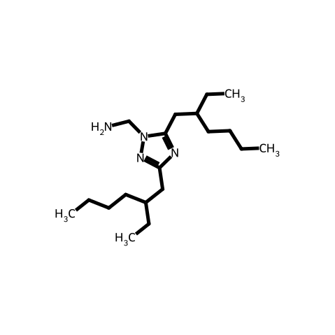 CCCCC(CC)Cc1nc(CC(CC)CCCC)n(CN)n1